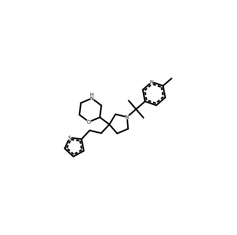 Cc1ccc(C(C)(C)N2CCC(CCc3cccs3)(C3CNCCO3)C2)cn1